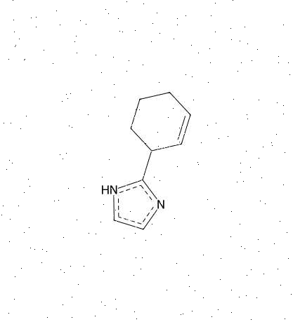 C1=CC(c2ncc[nH]2)CCC1